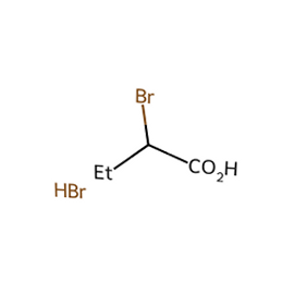 Br.CCC(Br)C(=O)O